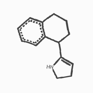 C1=C(C2CCCc3ccccc32)NCC1